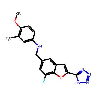 Fc1cc(CNc2ccc(OC(F)(F)F)c(C(F)(F)F)c2)cc2cc(-c3nnn[nH]3)oc12